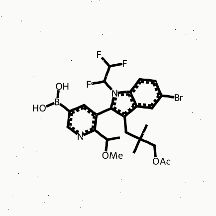 COC(C)c1ncc(B(O)O)cc1-c1c(CC(C)(C)COC(C)=O)c2cc(Br)ccc2n1C(F)C(F)F